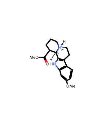 COC(=O)C1CCC[N@@H+]2CCc3c([nH]c4cc(OC)ccc34)[C@@H]12